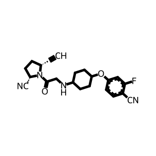 C#C[C@H]1CC[C@@H](C#N)N1C(=O)CNC1CCC(Oc2ccc(C#N)c(F)c2)CC1